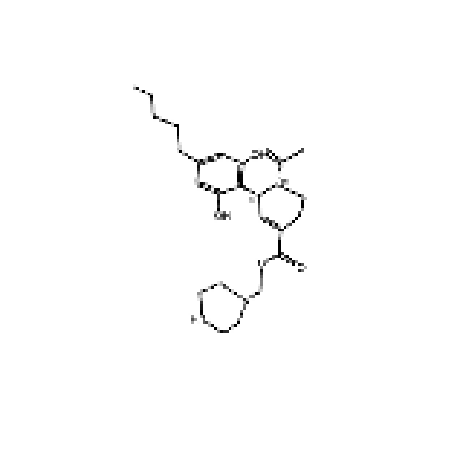 C=C(C)[C@@H]1CCC(C(=O)OCN2CCNCC2)=C[C@H]1c1c(O)cc(CCCCC)cc1O